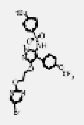 Cn1nc(OCCOc2ncc(Br)cn2)c(-c2ccc(OC(F)(F)F)cc2)c1NS(=O)(=O)c1ccc(C(C)(C)C)cc1